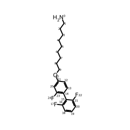 NCCCCCCCCCOc1ccc(-c2c(F)cccc2F)c(F)c1